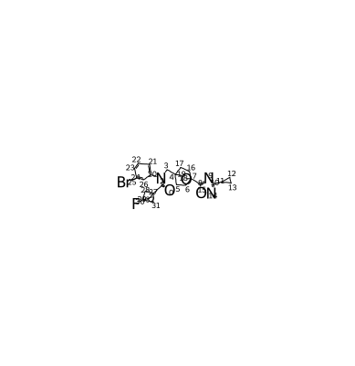 O=C(N(CC12CCC(c3nc(C4CC4)no3)(CC1)OC2)c1cccc(Br)c1)C12CC(F)(C1)C2